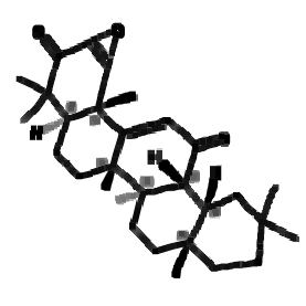 CC1(C)CC[C@]2(C)CC[C@]3(C)[C@H](C(=O)C=C4[C@@]5(C)C6=C(O6)C(=O)C(C)(C)[C@@H]5CC[C@]43C)[C@@H]2C1